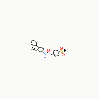 CCS(=O)(=O)c1ccc(CC(=O)Nc2ccc(-c3ccccc3C(C)=O)c(C)c2)cc1